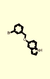 Brc1cccc(COc2ccc3[nH]ccc3c2)c1